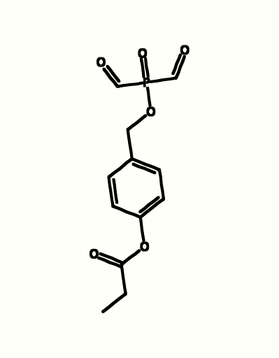 CCC(=O)Oc1ccc(COP(=O)(C=O)C=O)cc1